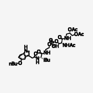 CCCCOc1ccc2[nH]cc(CC(=O)N[C@H](C(=O)NCCOP(=O)(O)OC[C@@H](NC(C)=O)C(=O)NC[C@@H](COC(C)=O)OC(C)=O)[C@@H](C)CC)c2c1